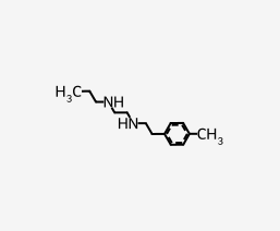 CCCNCCNCCc1ccc(C)cc1